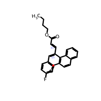 CCCCOC(=O)/C=C/C(=C/c1ccc(F)cc1)c1c(C=O)ccc2ccccc12